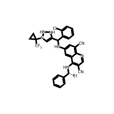 CC[C@@H](Nc1c(C#N)cnc2c(C#N)cc(NC(C3=CN(C4(C(F)(F)F)CC4)NN3)c3ccccc3Cl)cc12)c1ccccc1